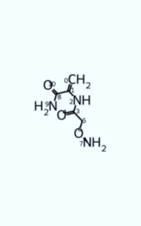 C=C(NC(=O)CON)C(N)=O